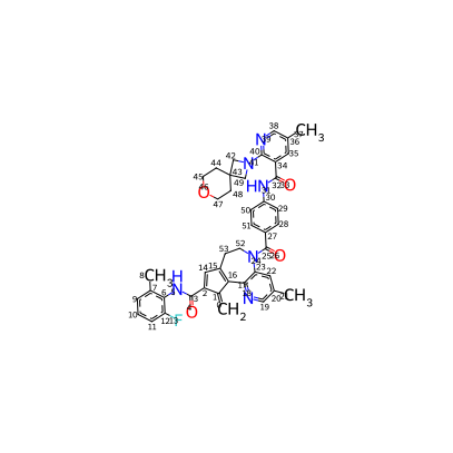 C=C1C(C(=O)Nc2c(C)cccc2F)=CC2=C1c1ncc(C)cc1N(C(=O)c1ccc(NC(=O)c3cc(C)cnc3N3CC4(CCOCC4)C3)cc1)CC2